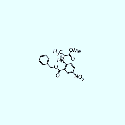 COC(=O)[C@H](C)Nc1ccc([N+](=O)[O-])cc1C(=O)OCc1ccccc1